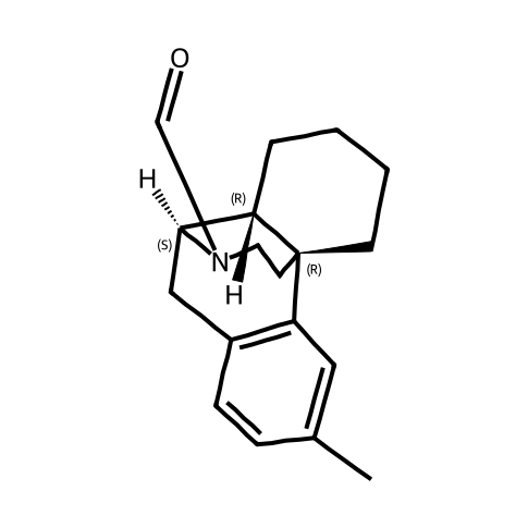 Cc1ccc2c(c1)[C@@]13CCCC[C@H]1[C@H](C2)N(C=O)CC3